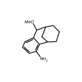 COC1c2cccc(N)c2C2CCCC1C2